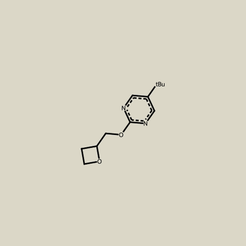 CC(C)(C)c1cnc(OCC2CCO2)nc1